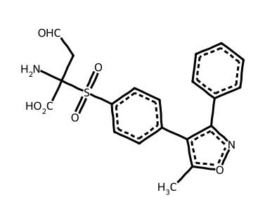 Cc1onc(-c2ccccc2)c1-c1ccc(S(=O)(=O)C(N)(CC=O)C(=O)O)cc1